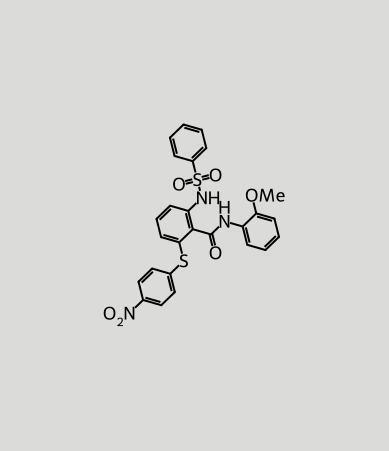 COc1ccccc1NC(=O)c1c(NS(=O)(=O)c2ccccc2)cccc1Sc1ccc([N+](=O)[O-])cc1